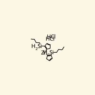 CCCC[SiH2]C1=[C]([Zr][C]2=C([SiH2]CCCC)C=CC2)CC=C1.Cl.Cl